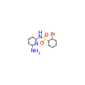 Nc1cccc(NS(=O)(=O)c2ccccc2Br)n1